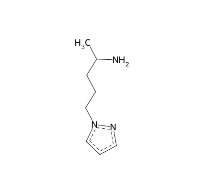 CC(N)CCCn1cccn1